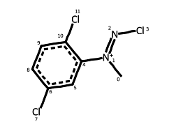 C[N+](=NCl)c1cc(Cl)ccc1Cl